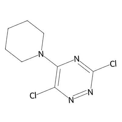 Clc1nnc(Cl)c(N2CCCCC2)n1